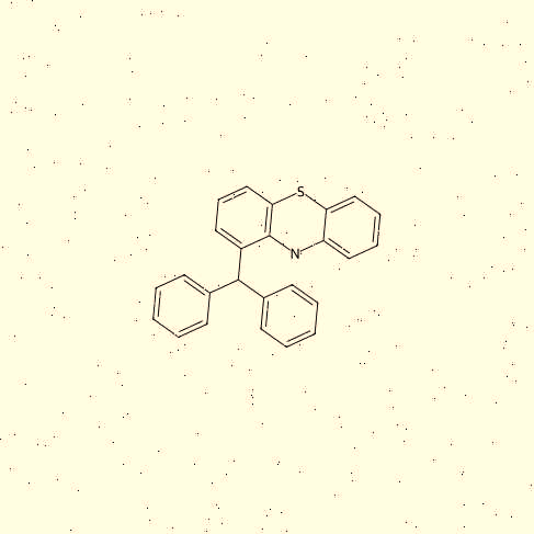 c1ccc(C(c2ccccc2)c2cccc3c2[N]c2ccccc2S3)cc1